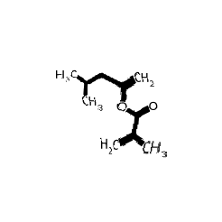 C=C(CC(C)C)OC(=O)C(=C)C